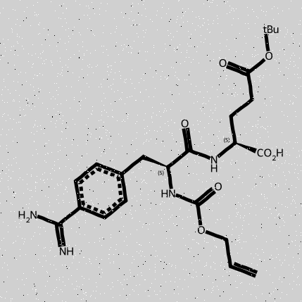 C=CCOC(=O)N[C@@H](Cc1ccc(C(=N)N)cc1)C(=O)N[C@@H](CCC(=O)OC(C)(C)C)C(=O)O